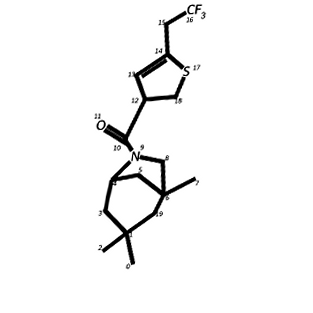 CC1(C)CC2CC(C)(CN2C(=O)C2C=C(CC(F)(F)F)SC2)C1